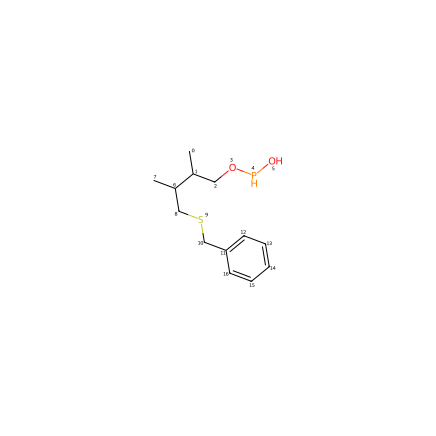 CC(COPO)C(C)CSCc1ccccc1